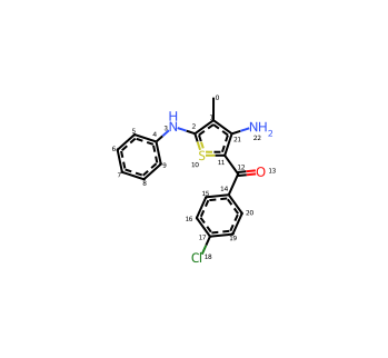 Cc1c(Nc2ccccc2)sc(C(=O)c2ccc(Cl)cc2)c1N